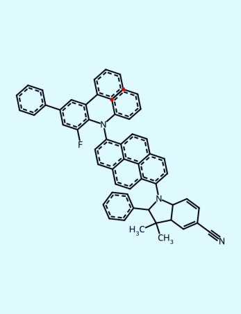 CC1(C)C2C=C(C#N)C=CC2N(c2ccc3ccc4c(N(c5ccccc5)c5c(F)cc(-c6ccccc6)cc5-c5ccccc5)ccc5ccc2c3c54)C1c1ccccc1